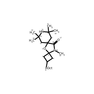 CCCCCCCCC1CC2(C1)OC1(CC(C)(C)NC(C)(C)C1)C(=O)N2C